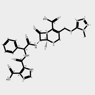 Cn1nnnc1SCC1=C(C(=O)O)N2C(=O)[C@@H](NC(=O)C(NC(=O)c3[nH]cnc3C(=O)O)c3ccccc3)[C@@H]2SC1